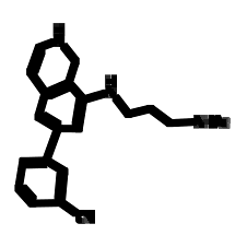 CC(=O)NCCCNc1cc(-c2cccc(C#N)c2)cc2c1CNC=C2